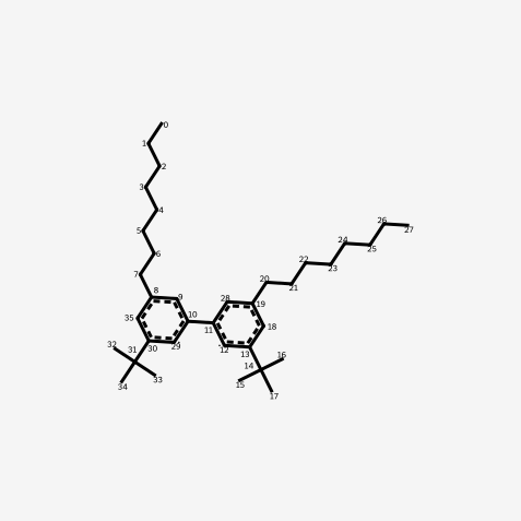 CCCCCCCCc1cc(-c2[c]c(C(C)(C)C)cc(CCCCCCCC)c2)[c]c(C(C)(C)C)c1